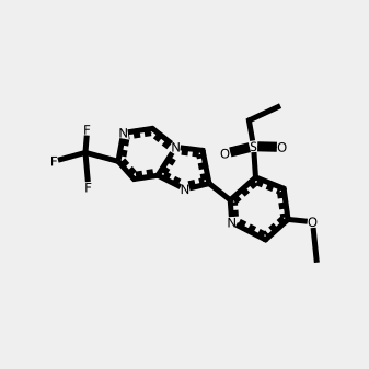 CCS(=O)(=O)c1cc(OC)cnc1-c1cn2cnc(C(F)(F)F)cc2n1